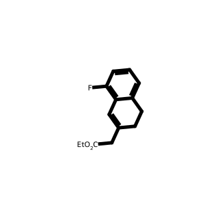 CCOC(=O)CC1=Cc2c(F)cccc2CC1